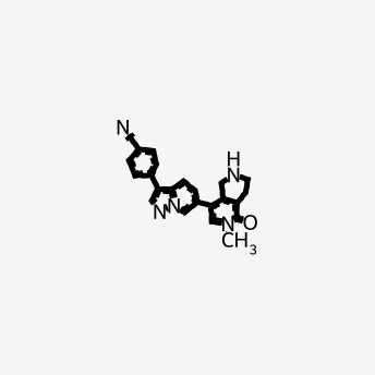 Cn1cc(-c2ccc3c(-c4ccc(C#N)cc4)cnn3c2)c2c(c1=O)CCNC2